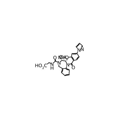 COc1cc(-n2cccn2)ccc1C(=O)N1C[C@@H](C)N(C(=O)NCC(=O)O)Cc2ccccc21